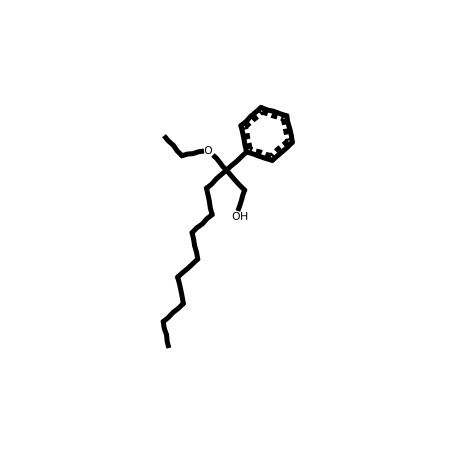 CCCCCCCCC(CO)(OCC)c1ccccc1